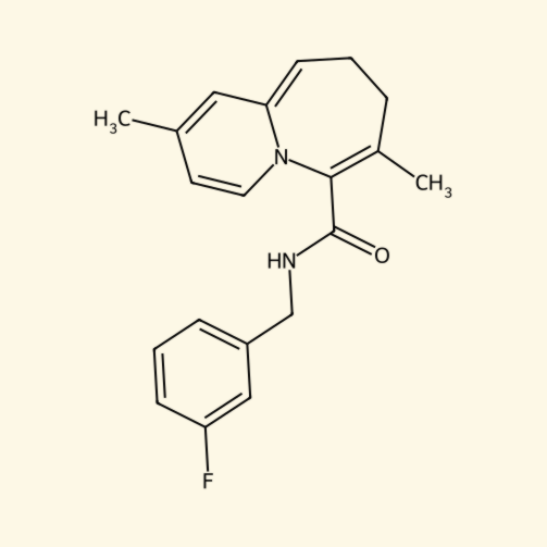 CC1=CC2=CCCC(C)=C(C(=O)NCc3cccc(F)c3)N2C=C1